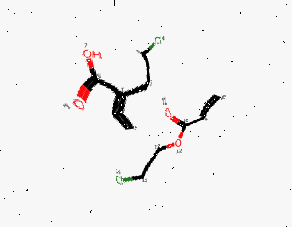 C=C(CCCl)C(=O)O.C=CC(=O)OCCCl